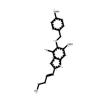 COc1ccc(COc2c(OC)cc3sc(C=CCCO)cc3c2F)cc1